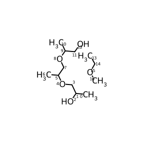 CC(O)COC(C)COC(C)CO.CCOC